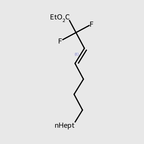 CCCCCCCCCC/C=C/C(F)(F)C(=O)OCC